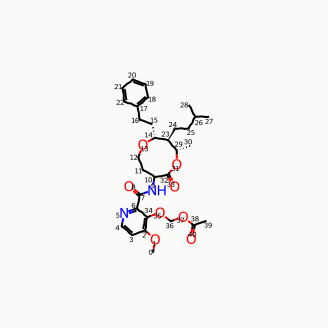 COc1ccnc(C(=O)NC2CCO[C@H](CCc3ccccc3)[C@@H](CCC(C)C)[C@H](C)OC2=O)c1OCOC(C)=O